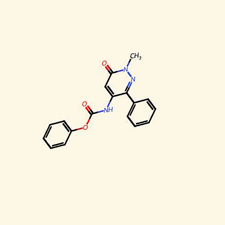 Cn1nc(-c2ccccc2)c(NC(=O)Oc2ccccc2)cc1=O